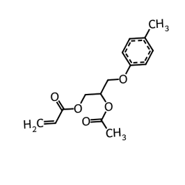 C=CC(=O)OCC(COc1ccc(C)cc1)OC(C)=O